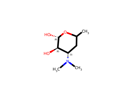 CC1C[C@H](N(C)C)[C@@H](O)[C@H](O)O1